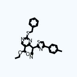 CCOC(=O)c1cnc(SCc2ccccc2)nc1C(C#N)c1nc(-c2ccc(C)cc2)cs1